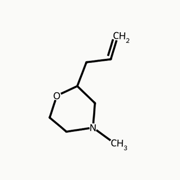 C=CCC1CN(C)CCO1